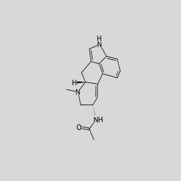 CC(=O)N[C@H]1C=C2c3cccc4[nH]cc(c34)C[C@H]2N(C)C1